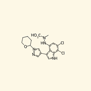 CN(Nc1cc(Cl)c(Cl)c2[nH]cc(-c3cnn(C4CCCCO4)c3)c12)C(=O)O